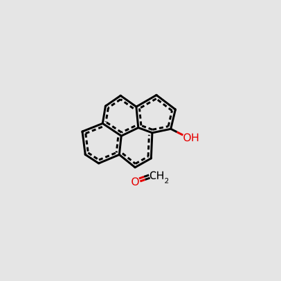 C=O.Oc1ccc2ccc3cccc4ccc1c2c34